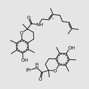 CC(C)=CCC/C(C)=C/CNC(=O)C1(C)CCc2c(C)c(O)c(C)c(C)c2O1.Cc1c(C)c2c(c(C)c1O)CCC(C)(C(=O)NC(C)C)O2